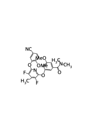 COc1cc(Oc2nc(Oc3cc(C#N)ccc3OC)c(F)c(C)c2F)cc(C(=O)N(C)C)c1